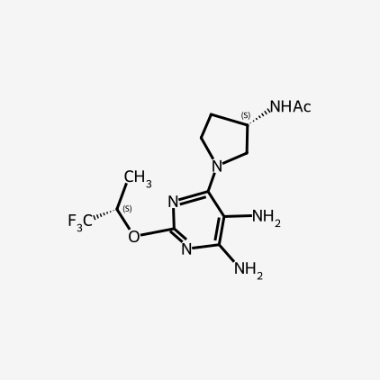 CC(=O)N[C@H]1CCN(c2nc(O[C@@H](C)C(F)(F)F)nc(N)c2N)C1